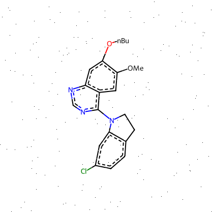 CCCCOc1cc2ncnc(N3CCc4ccc(Cl)cc43)c2cc1OC